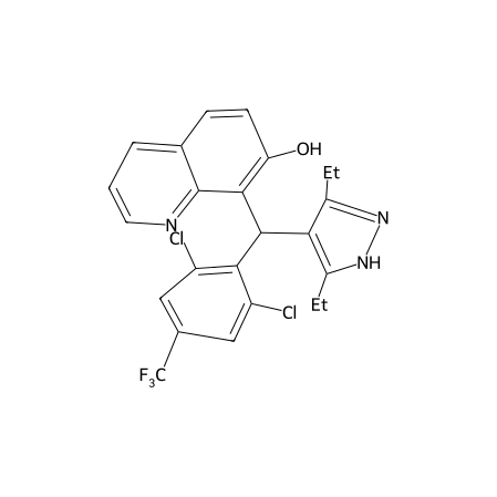 CCc1n[nH]c(CC)c1C(c1c(Cl)cc(C(F)(F)F)cc1Cl)c1c(O)ccc2cccnc12